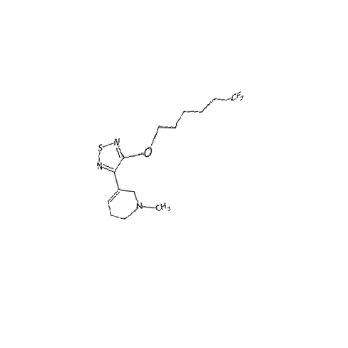 CN1CCC=C(c2nsnc2OCCCCCC(F)(F)F)C1